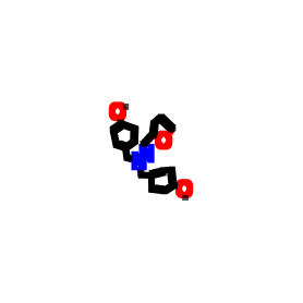 COc1ccc(CN(Cc2ccc(OC)cc2)/N=C/c2ccco2)cc1